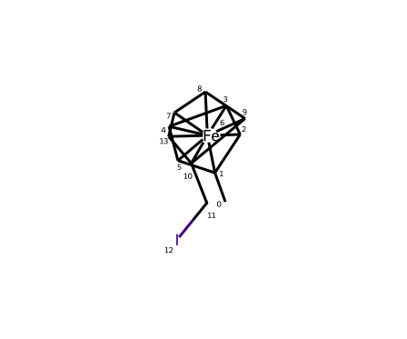 C[C]12[CH]3[CH]4[CH]5[CH]1[Fe]45321678[CH]2[CH]1[CH]6[C]7(CI)[CH]28